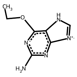 CCOc1nc(N)nc2c1NC=[N+]2